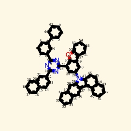 c1ccc(-c2cccc(-c3nc(-c4ccc5ccccc5c4)nc(-c4cc(-n5c6cc7ccccc7cc6c6c7ccccc7ccc65)cc5c4oc4ccccc45)n3)c2)cc1